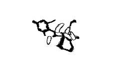 CCOC(=O)C1(C(=O)Cc2c(C)cc(C)cc2C)CCCCC1OC